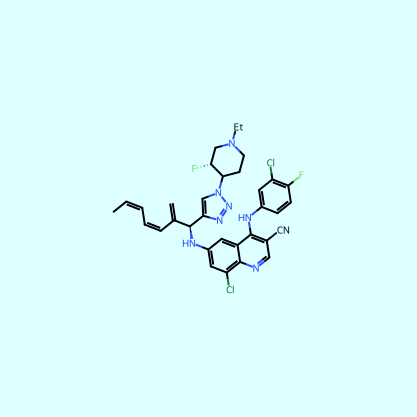 C=C(/C=C\C=C/C)[C@H](Nc1cc(Cl)c2ncc(C#N)c(Nc3ccc(F)c(Cl)c3)c2c1)c1cn(C2CCN(CC)C[C@H]2F)nn1